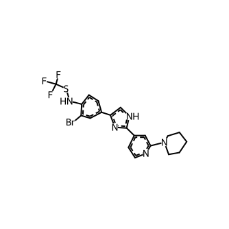 FC(F)(F)SNc1ccc(-c2c[nH]c(-c3ccnc(N4CCCCC4)c3)n2)cc1Br